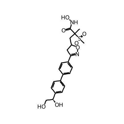 CC(CC1CC(c2ccc(-c3ccc([C@@H](O)CO)cc3)cc2)=NO1)(C(=O)NO)S(C)(=O)=O